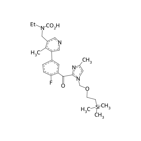 CCN(Cc1cncc(-c2ccc(F)c(C(=O)c3nc(C)cn3COCC[Si](C)(C)C)c2)c1C)C(=O)O